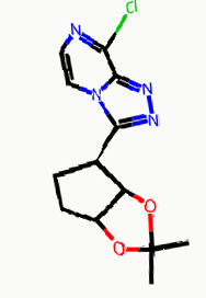 CC1(C)OC2CC[C@@H](c3nnc4c(Cl)nccn34)C2O1